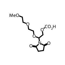 COCCOCCOC(COC(=O)O)N1C(=O)CCC1=O